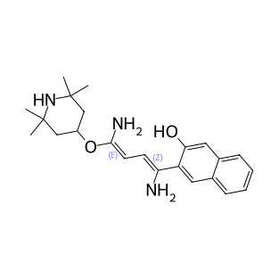 CC1(C)CC(O/C(N)=C/C=C(\N)c2cc3ccccc3cc2O)CC(C)(C)N1